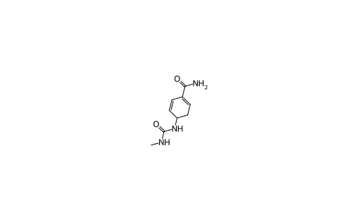 CNC(=O)NC1C=CC(C(N)=O)=CC1